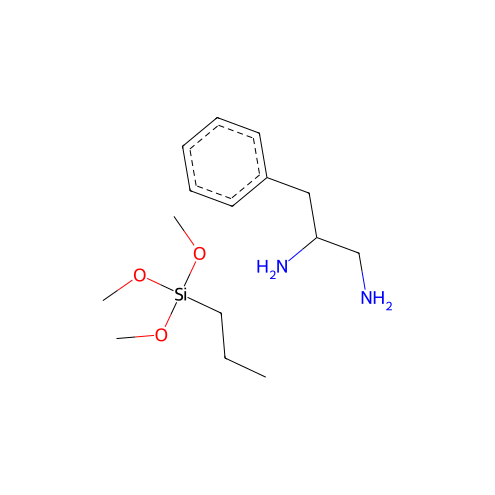 CCC[Si](OC)(OC)OC.NCC(N)Cc1ccccc1